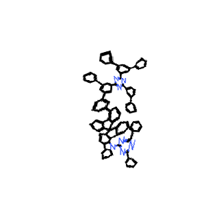 c1ccc(-c2cccc(-c3nc(-c4cc(-c5ccccc5)cc(-c5ccccc5)c4)nc(-c4cc(-c5ccccc5)cc(-c5cccc(-c6cccc7c6-c6ccccc6C76c7ccccc7-c7c6ccc6c8ccccc8n(-c8nc(-c9ccccc9)nc(-c9ccccc9)n8)c76)c5)c4)n3)c2)cc1